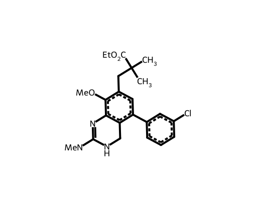 CCOC(=O)C(C)(C)Cc1cc(-c2cccc(Cl)c2)c2c(c1OC)N=C(NC)NC2